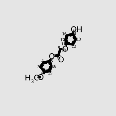 COc1ccc(OC(=O)COc2ccc(O)cc2)cc1